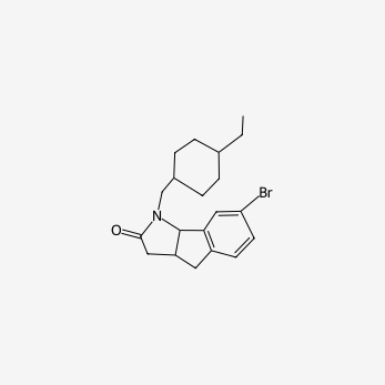 CCC1CCC(CN2C(=O)CC3Cc4ccc(Br)cc4C32)CC1